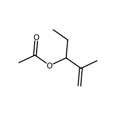 C=C(C)C(CC)OC(C)=O